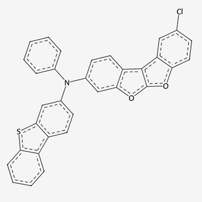 Clc1ccc2oc3oc4cc(N(c5ccccc5)c5ccc6c(c5)sc5ccccc56)ccc4c3c2c1